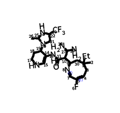 CCC1(C)C/C=C(F)\C=N/C(C(C(=O)NC2=CNCCC2N2CC(C(F)(F)F)NC2C)C(N)N)C1